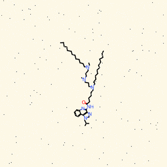 CCCCCCCCCCCCCN(CC)CCCN(C)CCCN(CCCCCCCCCCCCC)CCCCCC(=O)Nc1nc2ccccc2c2c1ncn2CC(C)C